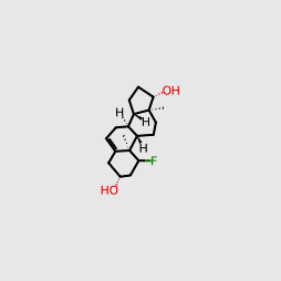 C[C@]12CC[C@H]3[C@@H](CC=C4C[C@@H](O)CC(F)[C@@]43C)[C@@H]1CC[C@@H]2O